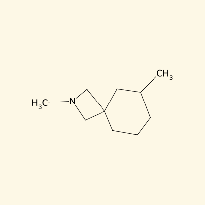 CC1CCCC2(C1)CN(C)C2